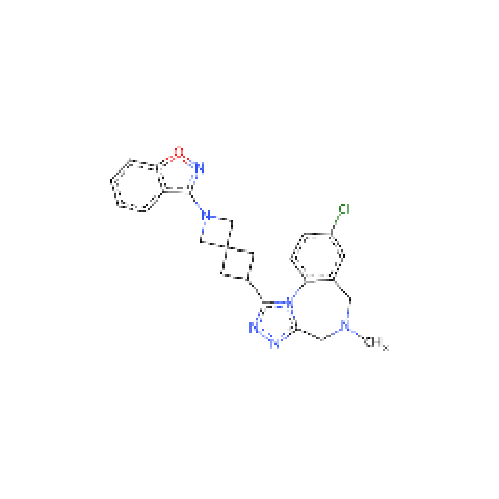 CN1Cc2cc(Cl)ccc2-n2c(nnc2C2CC3(C2)CN(c2noc4ccccc24)C3)C1